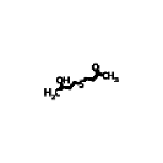 C=C(O)CCSCCC(C)=O